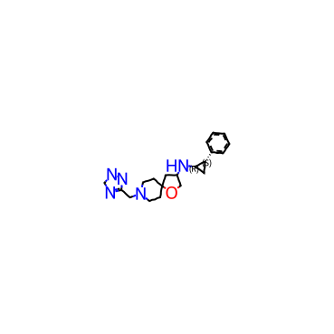 c1ccc([C@@H]2C[C@H]2NC2COC3(CCN(CC4=NCN=N4)CC3)C2)cc1